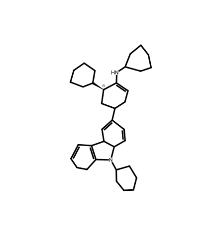 C1=CC2=C(CC1)N(C1CCCCC1)C1C=CC(C3CC=C(NC4CCCCC4)[C@H](C4CCCCC4)C3)=CC21